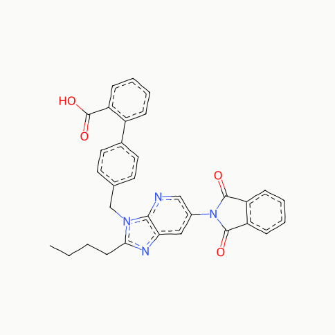 CCCCc1nc2cc(N3C(=O)c4ccccc4C3=O)cnc2n1Cc1ccc(-c2ccccc2C(=O)O)cc1